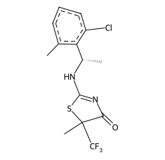 Cc1cccc(Cl)c1[C@H](C)NC1=NC(=O)C(C)(C(F)(F)F)S1